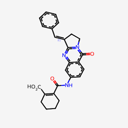 O=C(O)C1=C(C(=O)Nc2ccc3c(=O)n4c(nc3c2)/C(=C/c2ccccc2)CC4)CCCC1